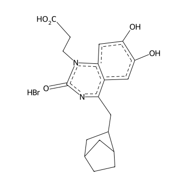 Br.O=C(O)CCn1c(=O)nc(CC2CC3CCC2C3)c2cc(O)c(O)cc21